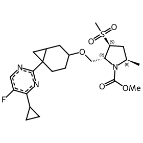 COC(=O)N1[C@H](C)C[C@H](S(C)(=O)=O)[C@H]1COC1CCC2(c3ncc(F)c(C4CC4)n3)CC2C1